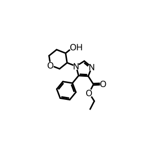 CCOC(=O)c1ncn(C2COCCC2O)c1-c1ccccc1